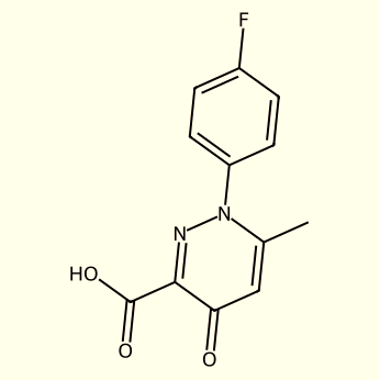 Cc1cc(=O)c(C(=O)O)nn1-c1ccc(F)cc1